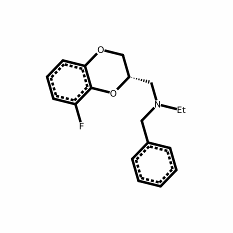 CCN(Cc1ccccc1)C[C@H]1COc2cccc(F)c2O1